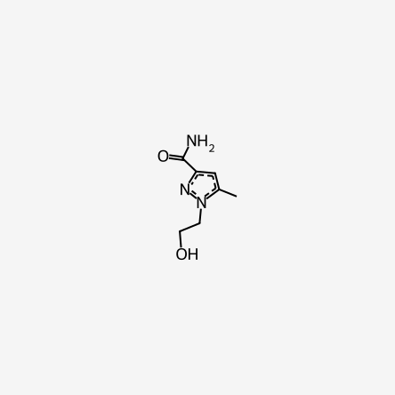 Cc1cc(C(N)=O)nn1CCO